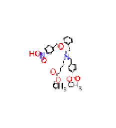 CCOC(=O)CCCCN(CCc1ccccc1OCc1ccc([N+](=O)O)cc1)Cc1ccc(C(=O)OC)cc1